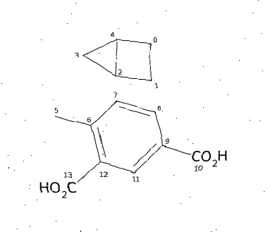 C1CC2CC12.Cc1ccc(C(=O)O)cc1C(=O)O